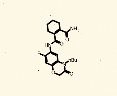 CCCCN1C(=O)COc2cc(F)c(NC(=O)C3=C(C(N)=O)CCCC3)cc21